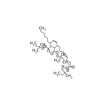 CCCCCCC1C=CC(CCCCCCCC(=O)OOC(C)(C)CC)C(C(=O)OOC(C)(C)CC)C1C(=O)OOC(C)(C)CC